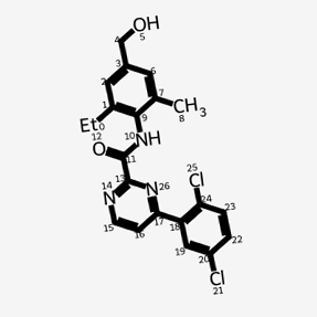 CCc1cc(CO)cc(C)c1NC(=O)c1nccc(-c2cc(Cl)ccc2Cl)n1